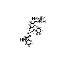 CC(C)[Si](O)(O)C=Cc1ccc(CN(CCc2ccccc2)CCc2c[nH]c3ccccc23)cc1